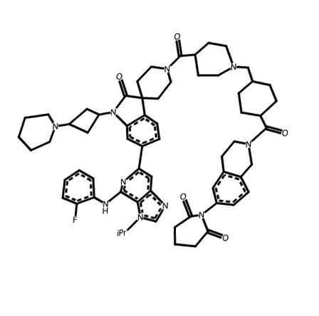 CC(C)n1cnc2cc(-c3ccc4c(c3)N(C3CC(N5CCCCC5)C3)C(=O)C43CCN(C(=O)C4CCN(CC5CCC(C(=O)N6CCc7cc(N8C(=O)CCCC8=O)ccc7C6)CC5)CC4)CC3)nc(Nc3ccccc3F)c21